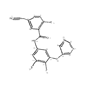 C#Cc1ccc(F)c(C(=O)Nc2cc(F)c(F)c(Oc3cncnc3)c2)c1